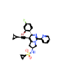 O=S(=O)(NC1CC2=C(C#CC3CC3)[C@H](c3ccc(F)cc3Br)N=C(c3ccccn3)N2C1)C1CC1